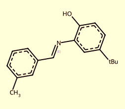 Cc1cccc(/C=N/c2cc(C(C)(C)C)ccc2O)c1